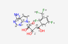 C[C@@]1(O)[C@@H]([C@H](O)c2cc(F)cc(C(F)F)c2F)O[C@@H](n2ccc3c(N)ncnc32)[C@@H]1O